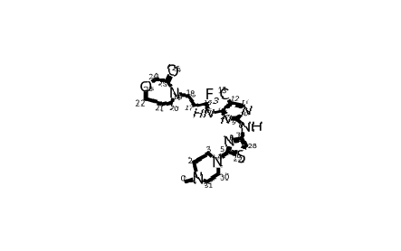 CN1CCN(c2nc(Nc3ncc(C(F)(F)F)c(NCCCN4CCCOCC4=O)n3)cs2)CC1